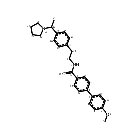 COc1ccc(-c2ccc(C(=O)NCCc3ccc(C(C)N4CCCC4)cc3)cc2)cc1